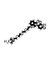 CS(=O)(=O)OCCOCCOCCOCCNc1cccc2c1CN(C1CCC(=O)NC1=O)C2=O